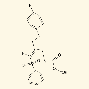 CC(C)(C)OC(=O)NC/C(CCc1ccc(F)cc1)=C(/F)S(=O)(=O)c1ccccc1